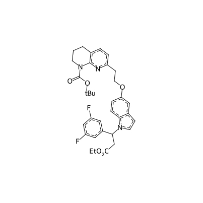 CCOC(=O)CC(c1cc(F)cc(F)c1)n1ccc2cc(OCCc3ccc4c(n3)N(C(=O)OC(C)(C)C)CCC4)ccc21